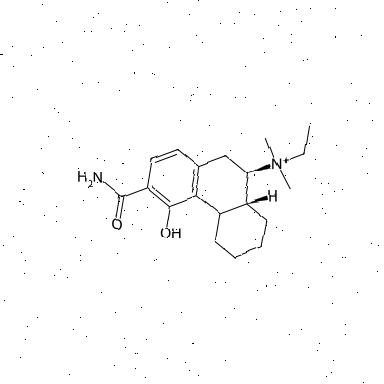 CC[N+](C)(C)[C@@H]1Cc2ccc(C(N)=O)c(O)c2C2CCCC[C@H]21